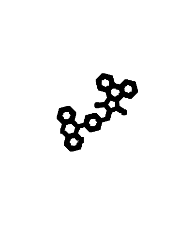 O=C1C(=Cc2ccc(N3c4ccccc4Sc4cccnc43)cc2)C(=O)c2c1c1ccccc1c1ccccc21